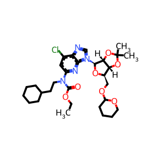 CCOC(=O)N(CCC1CCCCC1)c1cc(Cl)c2ncn([C@@H]3O[C@H](COC4CCCCO4)[C@H]4OC(C)(C)O[C@H]43)c2n1